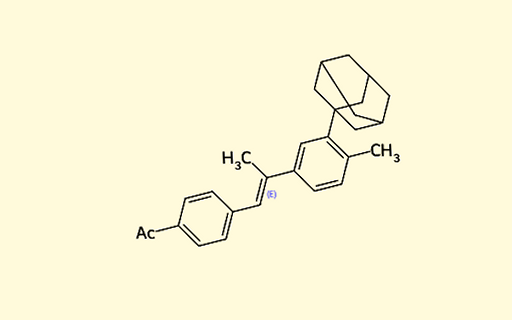 CC(=O)c1ccc(/C=C(\C)c2ccc(C)c(C34CC5CC(CC(C5)C3)C4)c2)cc1